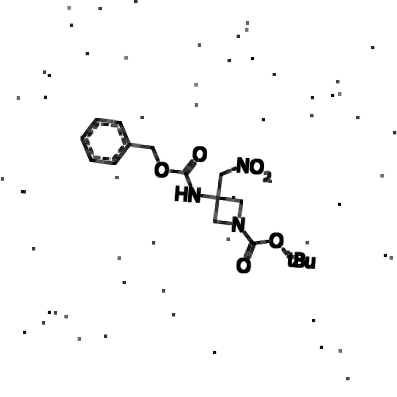 CC(C)(C)OC(=O)N1CC(C[N+](=O)[O-])(NC(=O)OCc2ccccc2)C1